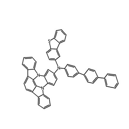 c1ccc(-c2ccc(-c3ccc(N(c4ccc5sc6ccccc6c5c4)c4ccc5c(c4)n4c6ccccc6c6ccc7c8ccccc8n5c7c64)cc3)cc2)cc1